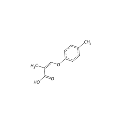 CC(=COc1ccc(C)cc1)C(=O)O